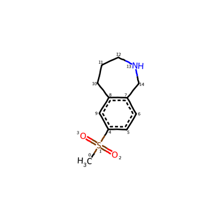 CS(=O)(=O)c1ccc2c(c1)CCCNC2